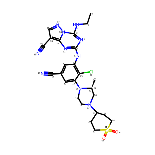 CCNc1nc(Nc2cc(C#N)cc(N3CCN(C4CCS(=O)(=O)CC4)C[C@@H]3C)c2Cl)nc2c(C#N)cnn12